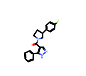 O=C(c1cn[nH]c1-c1ccccc1)N1CCC(c2ccc(F)cc2)C1